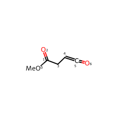 COC(=O)CC=C=O